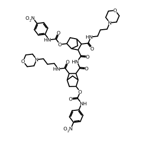 O=C(Nc1ccc([N+](=O)[O-])cc1)OC1CC2CC1C(C(=O)NC(=O)C1C3CC(CC3OC(=O)Nc3ccc([N+](=O)[O-])cc3)C1C(=O)NCCCN1CCOCC1)C2C(=O)NCCCN1CCOCC1